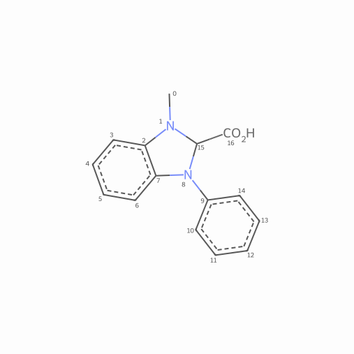 CN1c2ccccc2N(c2ccccc2)C1C(=O)O